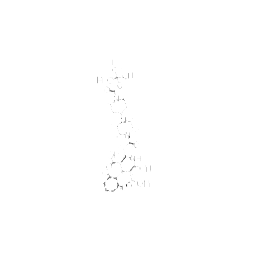 CC1=C(C(=O)O)C(c2c(Cl)cccc2Cl)C(C(=O)O)=C(CC(=O)N2CCN(C3CCN(C(=O)OC(C)(C)C)CC3)CC2)N1